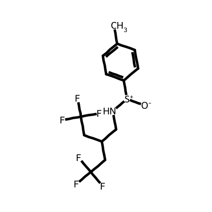 Cc1ccc([S+]([O-])NCC(CC(F)(F)F)CC(F)(F)F)cc1